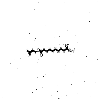 CC(C)=CCOC(=O)CCCCCCCCC(=O)O